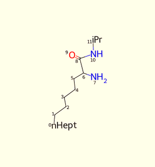 CCCCCCCCCCCCC(N)C(=O)NC(C)C